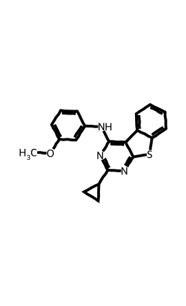 COc1cccc(Nc2nc(C3CC3)nc3sc4ccccc4c23)c1